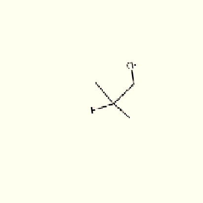 CC(C)(F)C[O]